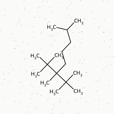 CC(C)C[CH]CC(C)(C(C)(C)C)C(C)(C)C